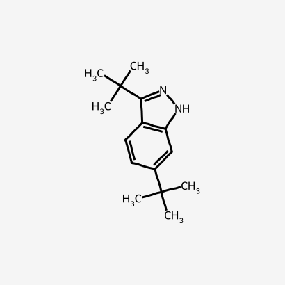 CC(C)(C)c1ccc2c(C(C)(C)C)n[nH]c2c1